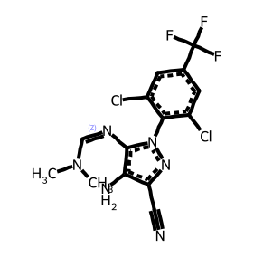 CN(C)/C=N\c1c(N)c(C#N)nn1-c1c(Cl)cc(C(F)(F)F)cc1Cl